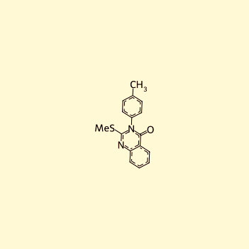 CSc1nc2ccccc2c(=O)n1-c1ccc(C)cc1